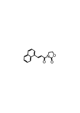 O=C(C=Cc1cccc2ccccc12)N1CCOC1=O